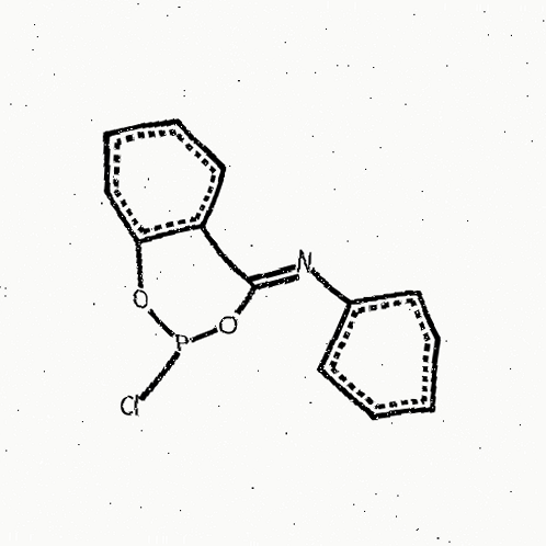 ClP1O/C(=N\c2ccccc2)c2ccccc2O1